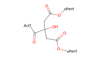 CCCCCOC(=O)CC(O)(CC(=O)OCCCCC)C(=O)OC(C)=O